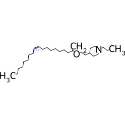 C=C(CCCCCCC/C=C\CCCCCCCC)OCCC1CCN(CCC)CC1